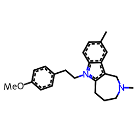 COc1ccc(CCn2c3c(c4cc(C)ccc42)CN(C)CCC3)cc1